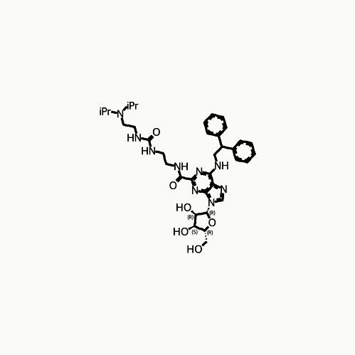 CC(C)N(CCNC(=O)NCCNC(=O)c1nc(NCC(c2ccccc2)c2ccccc2)c2ncn([C@@H]3O[C@H](CO)[C@@H](O)[C@H]3O)c2n1)C(C)C